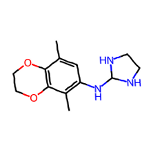 Cc1cc(NC2NCCN2)c(C)c2c1OCCO2